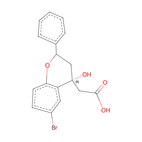 O=C(O)C[C@]1(O)CC(c2ccccc2)Oc2ccc(Br)cc21